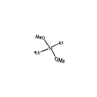 C[CH][Si](CC)(OC)OC